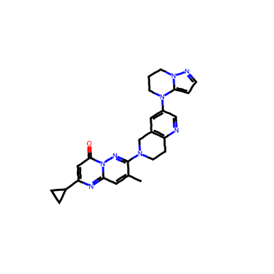 Cc1cc2nc(C3CC3)cc(=O)n2nc1N1CCc2ncc(N3CCCn4nccc43)cc2C1